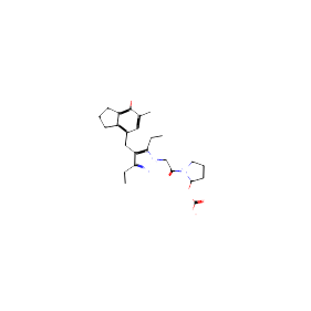 CCc1nn(CC(=O)N2CCCC2OC(=O)O)c(CC)c1Cc1cc(C)c(O)c2c1CCC2